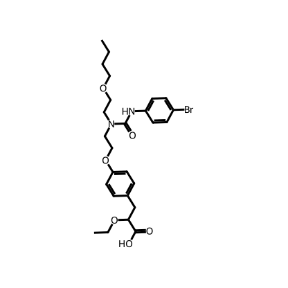 CCCCOCCN(CCOc1ccc(CC(OCC)C(=O)O)cc1)C(=O)Nc1ccc(Br)cc1